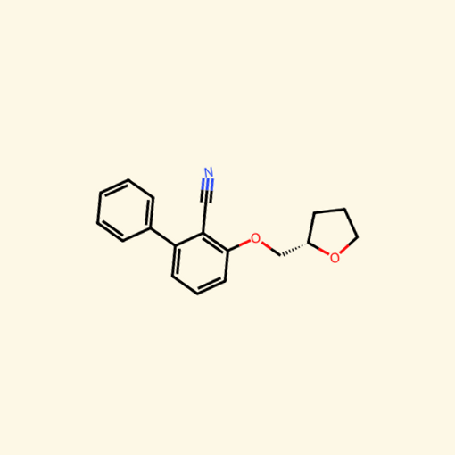 N#Cc1c(OC[C@@H]2CCCO2)cccc1-c1ccccc1